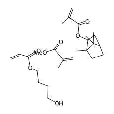 C=C(C)C(=O)OC.C=C(C)C(=O)OC1CC2CCC1(C)C2(C)C.C=CC(=O)OCCCCO